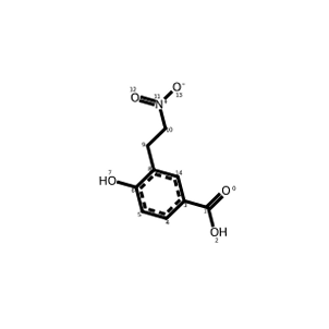 O=C(O)c1ccc(O)c(CC[N+](=O)[O-])c1